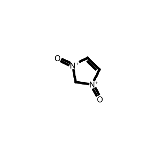 O=[N+]1C=C[N+](=O)C1